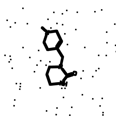 CN1CC=C(CN2CCCNC2=O)CC1